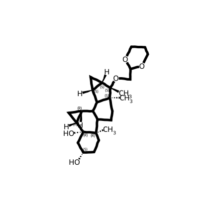 C[C@]12CCC3C(C1[C@@H]1C[C@@H]1[C@]2(C)OCC1OCCCO1)[C@H]1C[C@H]1[C@]1(O)C[C@@H](O)CC[C@]31C